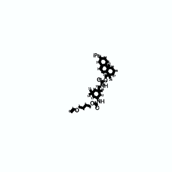 C=COCCCCOC(=O)NC1CC(C)(C)CC(C)(CNC(=O)OCC2(C)CCCC3(C)C4CCC(C(C)C)CC4=CCC23)C1